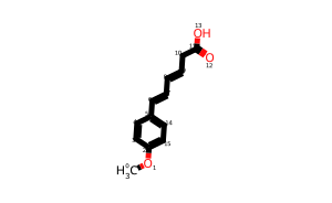 COc1ccc(C=CC=CCC(=O)O)cc1